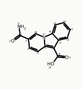 NC(=O)c1ccc2c(C(=O)O)c3ccccc3n2c1